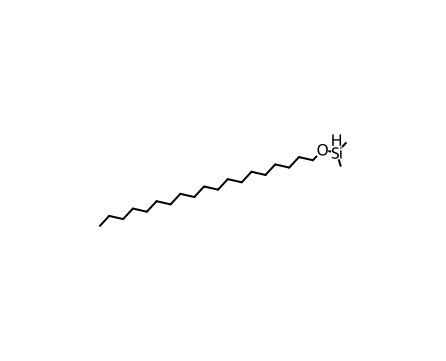 CCCCCCCCCCCCCCCCCCCO[SiH](C)C